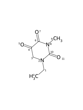 CCN1CC(=O)C(=O)N(C)C1=O